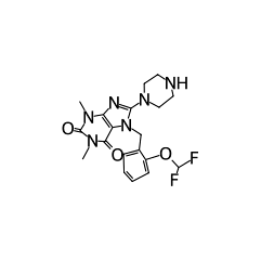 Cn1c(=O)c2c(nc(N3CCNCC3)n2Cc2ccccc2OC(F)F)n(C)c1=O